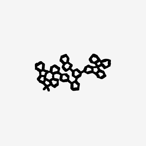 CC1(C)c2cccc3c2-c2c1ccc1c4ccccc4n(c21)-c1cccc(-c2ccc(-c4ccccc4-c4cc(-c5ccc6c(c5)-c5ccccc5C6(c5ccccc5)c5ccccc5)cc(-c5ccc6ccccc6c5)c4)cc2)c1-3